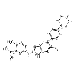 Cc1ccc(Oc2nc3cc(-c4ccc(N5CCOCC5)cc4)c(Cl)cc3[nH]2)cc1P(O)O